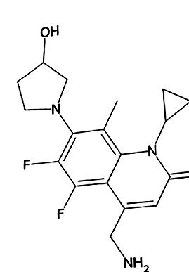 Cc1c(N2CCC(O)C2)c(F)c(F)c2c(CN)cc(=O)n(C3CC3)c12